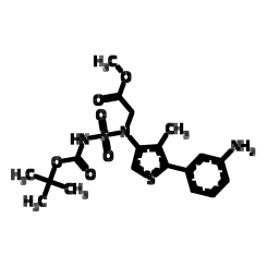 COC(=O)CN(c1csc(-c2cccc(N)c2)c1C)S(=O)(=O)NC(=O)OC(C)(C)C